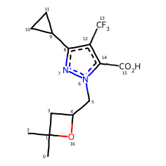 CC1(C)CC(Cn2nc(C3CC3)c(C(F)(F)F)c2C(=O)O)O1